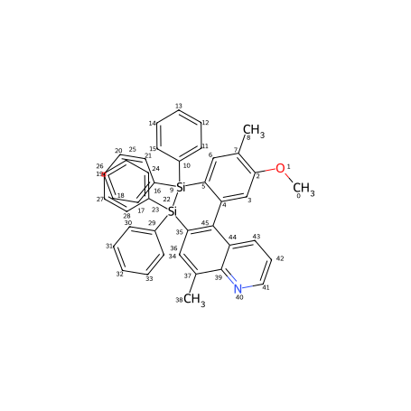 COc1cc2c(cc1C)[Si](c1ccccc1)(c1ccccc1)[Si](c1ccccc1)(c1ccccc1)c1cc(C)c3ncccc3c1-2